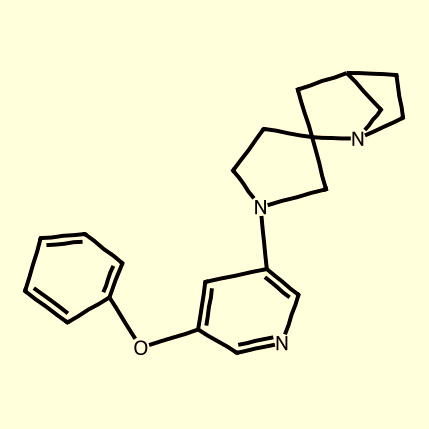 c1ccc(Oc2cncc(N3CCC4(CC5CCN4C5)C3)c2)cc1